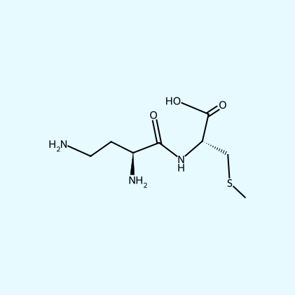 CSC[C@H](NC(=O)[C@@H](N)CCN)C(=O)O